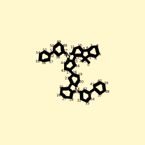 CC1(C)c2ccccc2-c2ccc3c(c21)c1cc(-c2ccc4c(c2)c2ccccc2n4-c2cccc(-c4ccccc4)c2)ccc1n3-c1cccc(-c2ccccc2)c1